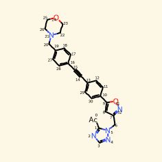 CC(=O)c1ncnn1Cc1cc(-c2ccc(C#Cc3ccc(CN4CCOCC4)cc3)cc2)on1